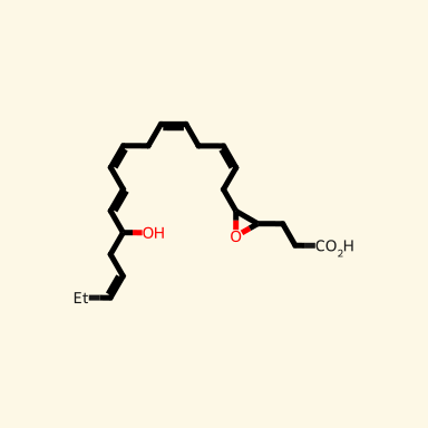 CC/C=C\CC(O)/C=C/C=C\C/C=C\C/C=C\CC1OC1CCC(=O)O